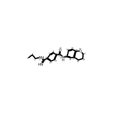 CCCNC(=N)c1ccc(C(=O)Nc2ccc3c(c2)CC[CH]O3)cc1